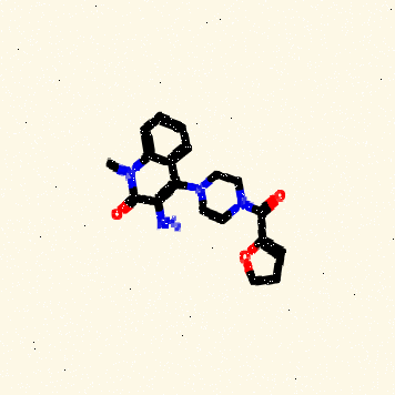 Cn1c(=O)c(N)c(N2CCN(C(=O)C3=CCCO3)CC2)c2ccccc21